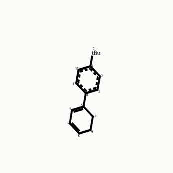 CC(C)(C)c1ccc(C2=CC=CC[CH]2)cc1